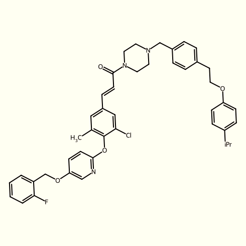 Cc1cc(C=CC(=O)N2CCN(Cc3ccc(CCOc4ccc(C(C)C)cc4)cc3)CC2)cc(Cl)c1Oc1ccc(OCc2ccccc2F)cn1